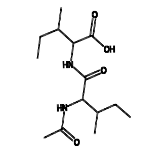 CCC(C)C(NC(=O)C(NC(C)=O)C(C)CC)C(=O)O